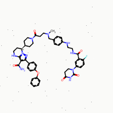 CN(CCC(=O)N1CCC([C@@H]2CCNc3c(C(N)=O)c(-c4ccc(Oc5ccccc5)cc4)nn32)CC1)Cc1ccc(NCCNC(=O)c2cc(N3CCC(=O)NC3=O)ccc2F)cc1